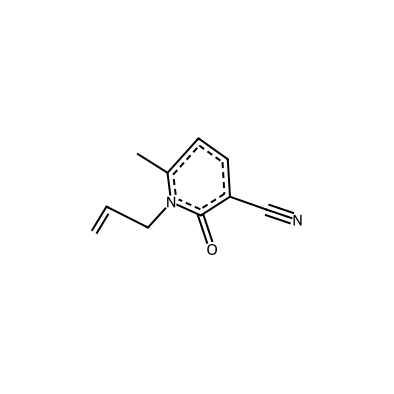 C=CCn1c(C)ccc(C#N)c1=O